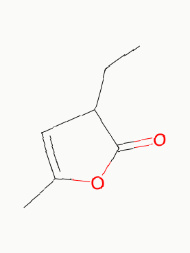 CCC1C=C(C)OC1=O